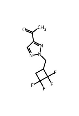 CC(=O)c1cnn(CC2CC(F)(F)C2(F)F)n1